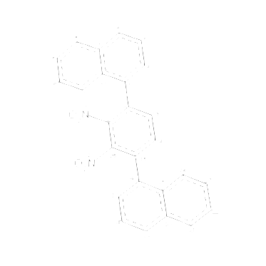 O=[N+]([O-])c1c(-c2cccc3ccccc23)ccc(-c2cccc3ccccc23)c1[N+](=O)[O-]